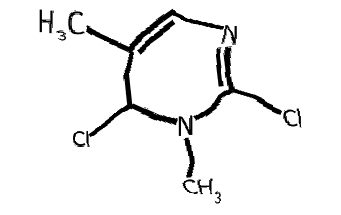 CC1=CN=C(Cl)N(C)C1Cl